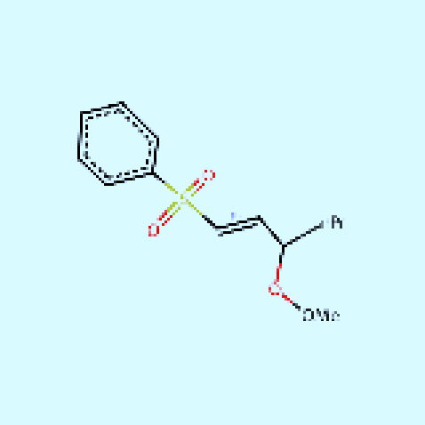 CCCC(/C=C/S(=O)(=O)c1ccccc1)OOC